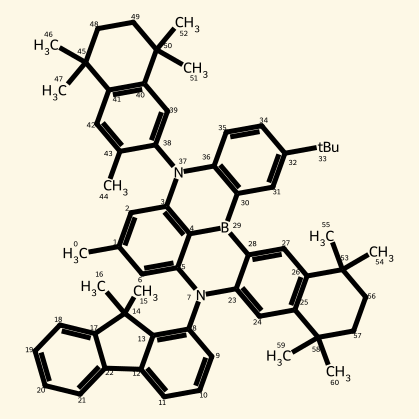 Cc1cc2c3c(c1)N(c1cccc4c1C(C)(C)c1ccccc1-4)c1cc4c(cc1B3c1cc(C(C)(C)C)ccc1N2c1cc2c(cc1C)C(C)(C)CCC2(C)C)C(C)(C)CCC4(C)C